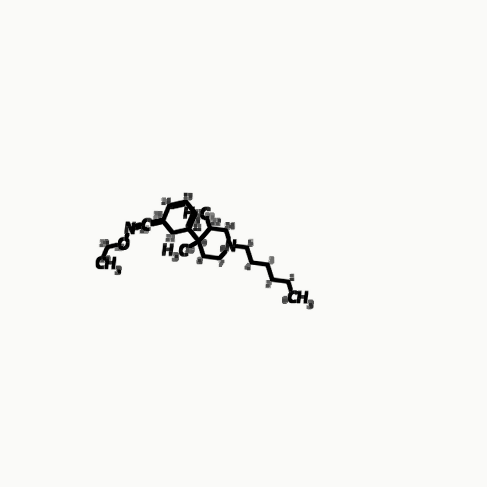 CCCCCCN1CCC(C)(C2=CC=CC(=C=NOCC)C2)C(C)C1